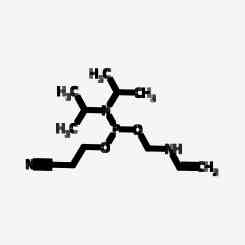 C=CNCOP(OCCC#N)N(C(C)C)C(C)C